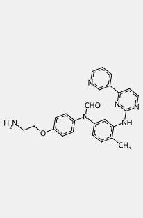 Cc1ccc(N(C=O)c2ccc(OCCN)cc2)cc1Nc1nccc(-c2cccnc2)n1